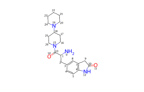 NC(Cc1ccc2c(c1)CC(=O)N2)C(=O)N1CCC(N2CCCCC2)CC1